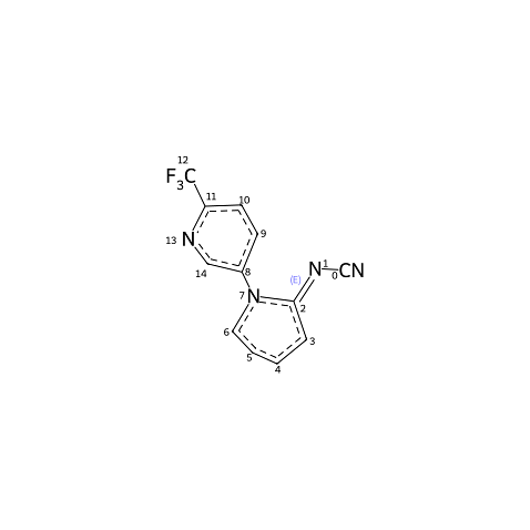 N#C/N=c1\ccccn1-c1ccc(C(F)(F)F)nc1